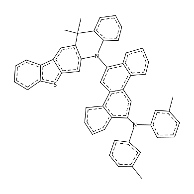 Cc1cccc(N(c2cccc(C)c2)c2cc3c4ccccc4c(N4c5ccccc5C(C)(C)c5cc6c(cc54)sc4ccccc46)cc3c3ccccc23)c1